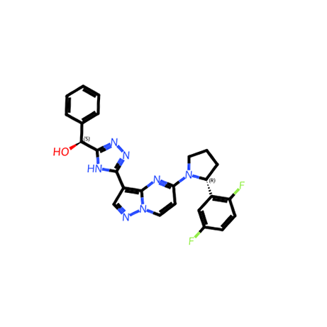 O[C@@H](c1ccccc1)c1nnc(-c2cnn3ccc(N4CCC[C@@H]4c4cc(F)ccc4F)nc23)[nH]1